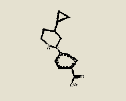 COC(=O)c1ccc([C@@H]2CC(C3CC3)CCN2)cc1